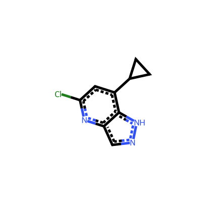 Clc1cc(C2CC2)c2[nH]ncc2n1